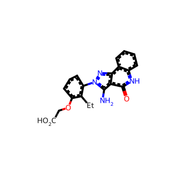 CCc1c(OCC(=O)O)cccc1-n1nc2c(c1N)c(=O)[nH]c1ccccc12